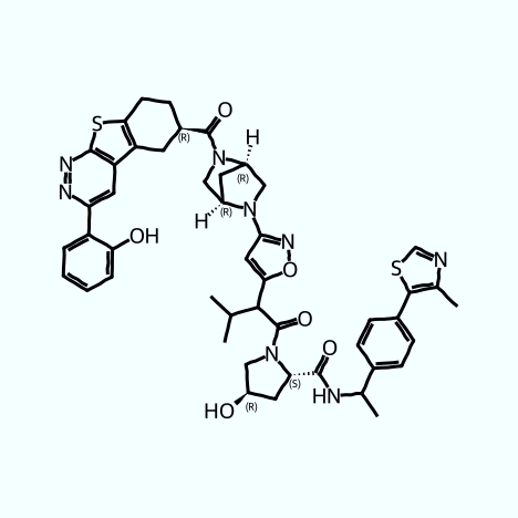 Cc1ncsc1-c1ccc(C(C)NC(=O)[C@@H]2C[C@@H](O)CN2C(=O)C(c2cc(N3C[C@H]4C[C@@H]3CN4C(=O)[C@@H]3CCc4sc5nnc(-c6ccccc6O)cc5c4C3)no2)C(C)C)cc1